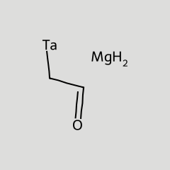 O=C[CH2][Ta].[MgH2]